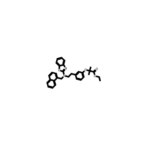 CCOC(=O)C(C)(C)Oc1cccc(CCN(Cc2cccc3ccccc23)c2nc3ccccc3o2)c1